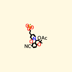 CC(=O)O[C@H]1[C@H](n2ccc(CCOS(C)(=O)=O)cc2=O)c2cc(C#N)ccc2OC1(C)C